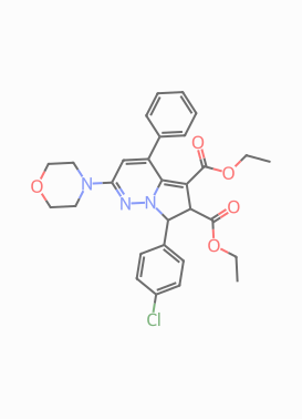 CCOC(=O)C1=C2C(c3ccccc3)=CC(N3CCOCC3)=NN2C(c2ccc(Cl)cc2)C1C(=O)OCC